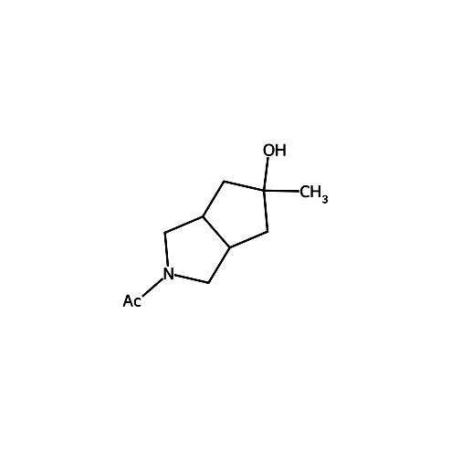 CC(=O)N1CC2CC(C)(O)CC2C1